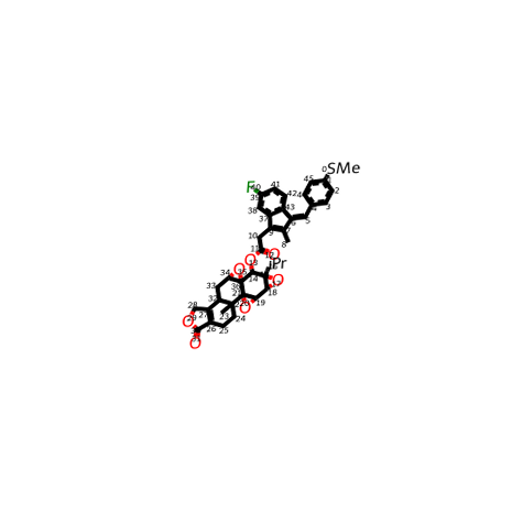 CSc1ccc(/C=C2/C(C)=C(CC(=O)OC3C4(C(C)C)OC4C4OC45C4(C)CCC6=C(COC6=O)C4CC4OC435)c3cc(F)ccc32)cc1